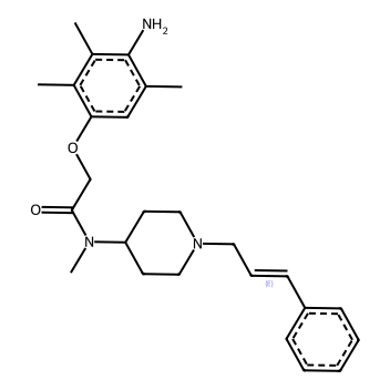 Cc1cc(OCC(=O)N(C)C2CCN(C/C=C/c3ccccc3)CC2)c(C)c(C)c1N